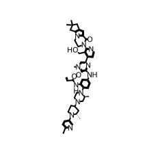 C=CC(=O)Nc1cc(Nc2nc(-c3ccnc(N4CCn5c(cc6c5CC(C)(C)C6)C4=O)c3CO)cn(C)c2=O)ccc1N1CCN(C2CCN(c3ccc(C)nc3)[C@@H](C)C2)C[C@@H]1C